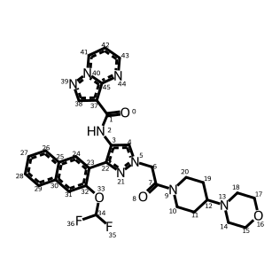 O=C(Nc1cn(CC(=O)N2CCC(N3CCOCC3)CC2)nc1-c1cc2ccccc2cc1OC(F)F)c1cnn2cccnc12